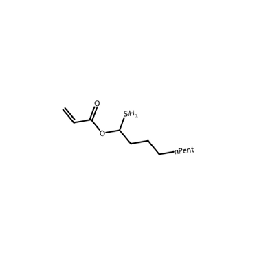 C=CC(=O)OC([SiH3])CCCCCCCC